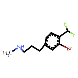 CNCCCc1ccc(C(F)F)c(Br)c1